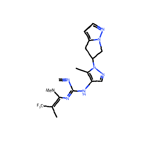 C=N/C(=N\C(NC)=C(/C)C(F)(F)F)Nc1cnn(C2Cc3ccnn3C2)c1C